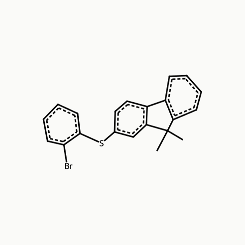 CC1(C)c2ccccc2-c2ccc(Sc3ccccc3Br)cc21